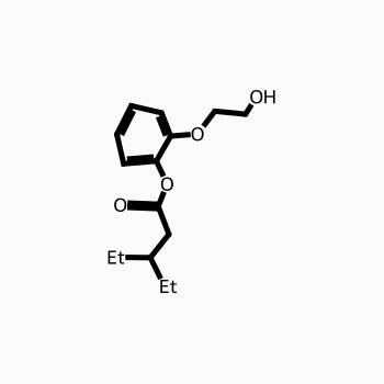 CCC(CC)CC(=O)Oc1ccccc1OCCO